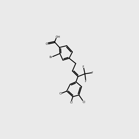 O=C(O)c1ccc(CC=C(c2cc(Cl)c(Cl)c(Cl)c2)C(F)(F)F)cc1Br